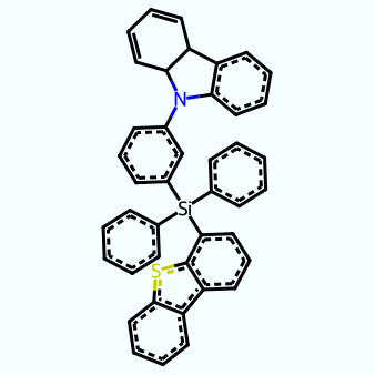 C1=CC2c3ccccc3N(c3cccc([Si](c4ccccc4)(c4ccccc4)c4cccc5c4sc4ccccc45)c3)C2C=C1